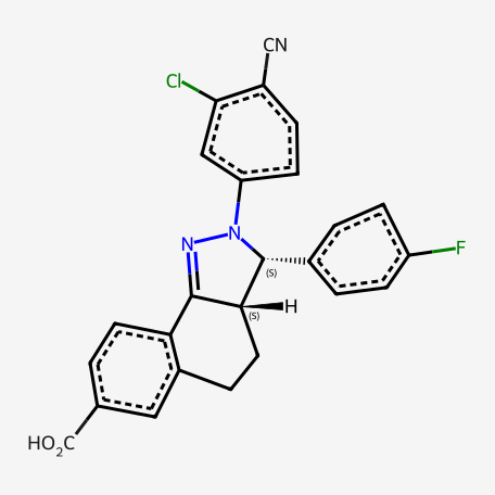 N#Cc1ccc(N2N=C3c4ccc(C(=O)O)cc4CC[C@H]3[C@H]2c2ccc(F)cc2)cc1Cl